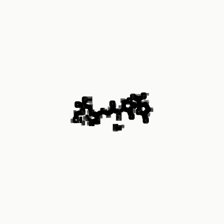 CCOP(=O)(O)Cn1nnnc1SCC(=O)N[C@H]1CON(C2(C(=O)[O-])CCC(=O)O2)C1=O.[Na+]